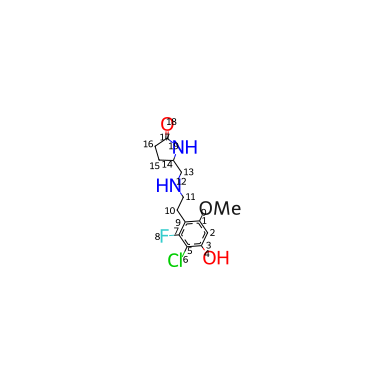 COc1cc(O)c(Cl)c(F)c1CCNCC1CCC(=O)N1